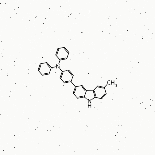 Cc1ccc2[nH]c3ccc(-c4ccc(N(c5ccccc5)c5ccccc5)cc4)cc3c2c1